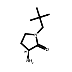 CC(C)(C)CN1CC[C@H](N)C1=O